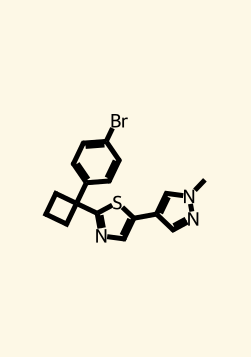 Cn1cc(-c2cnc(C3(c4ccc(Br)cc4)CCC3)s2)cn1